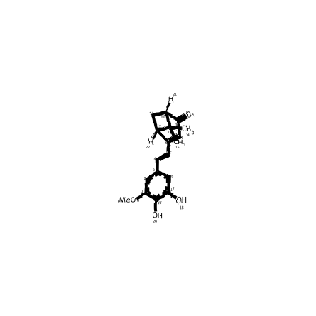 COc1cc(C=CC2=CC(=O)[C@H]3C[C@@H]2C3(C)C)cc(O)c1O